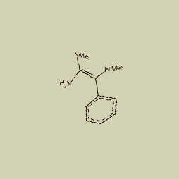 CNC([SiH3])=C(NC)c1ccccc1